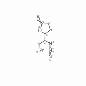 CC(C)CC(N=[N+]=[N-])C1CCC(=O)O1